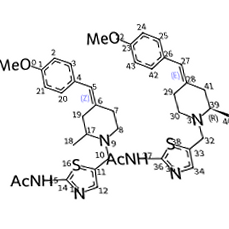 COc1ccc(/C=C2/CCN(Cc3cnc(NC(C)=O)s3)C(C)C2)cc1.COc1ccc(/C=C2\CCN(Cc3cnc(NC(C)=O)s3)[C@H](C)C2)cc1